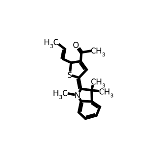 CC=CC1SC(=C2N(C)c3ccccc3C2(C)C)C=C1C(C)=O